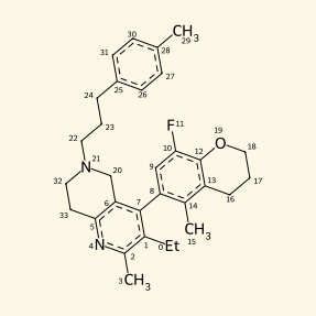 CCc1c(C)nc2c(c1-c1cc(F)c3c(c1C)CCCO3)CN(CCCc1ccc(C)cc1)CC2